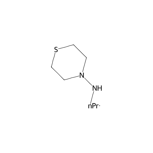 CC[CH]NN1CCSCC1